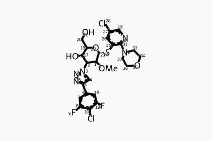 COC1C(n2cc(-c3cc(F)c(Cl)c(F)c3)nn2)[C@@H](O)C(CO)O[C@@H]1Sc1cc(Cl)cnc1N1CCOCC1